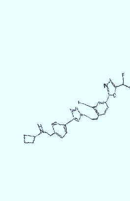 Fc1cc(-c2nnc(C(F)F)o2)ccc1Cn1cc(-c2ccc(CNC3CCC3)cc2)nn1